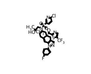 CC(C)(O)CN([C@H]1CCC2=Cc3c(cnn3-c3ccc(F)cc3)C[C@]2(C(=O)c2ncc(C(F)(F)F)s2)C1)S(=O)(=O)c1ccc(Cl)nc1